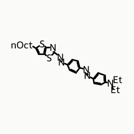 CCCCCCCCc1cc2sc(N=Nc3ccc(N=Nc4ccc(N(CC)CC)cc4)cc3)nc2s1